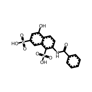 O=C(Nc1ccc2c(O)cc(S(=O)(=O)O)cc2c1S(=O)(=O)O)c1ccccc1